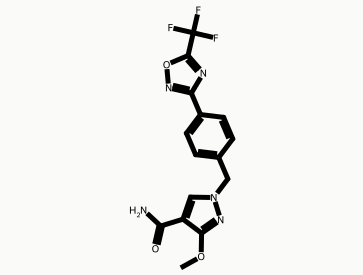 COc1nn(Cc2ccc(-c3noc(C(F)(F)F)n3)cc2)cc1C(N)=O